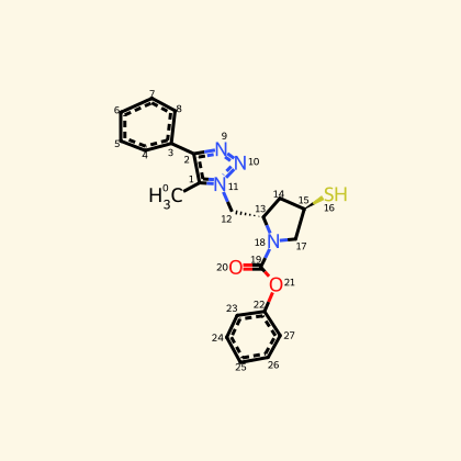 Cc1c(-c2ccccc2)nnn1C[C@@H]1C[C@@H](S)CN1C(=O)Oc1ccccc1